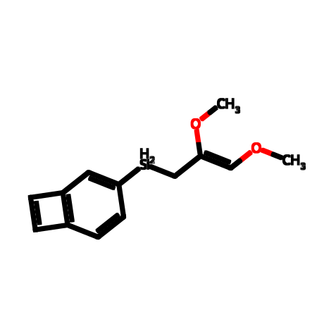 COC=C(C[SiH2]c1ccc2c(c1)C=C2)OC